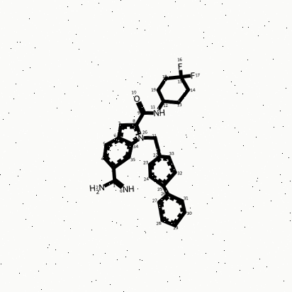 N=C(N)c1ccc2cc(C(=O)NC3CCC(F)(F)CC3)n(Cc3ccc(-c4ccccc4)cc3)c2c1